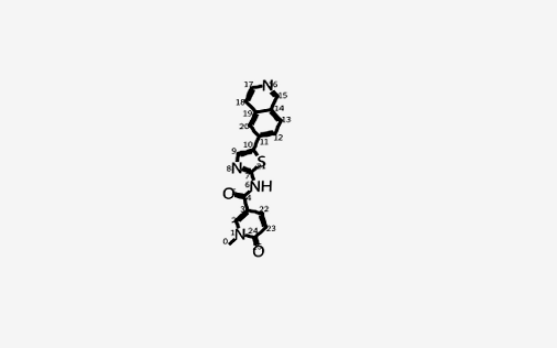 Cn1cc(C(=O)Nc2ncc(-c3ccc4cnccc4c3)s2)ccc1=O